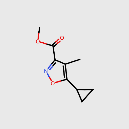 COC(=O)c1noc(C2CC2)c1C